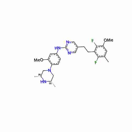 COc1cc(Nc2ncc(CCc3c(F)c(C)cc(OC)c3F)cn2)ccc1N1C[C@@H](C)N[C@@H](C)C1